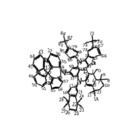 CC1C2=C(C=C3C1C(C)(C)CCC3(C)C)N(c1ccc3c(c1)C(C)(C)CCC3(C)C)c1cc(N3c4ccccc4C(c4ccccc4)(c4ccccc4)c4ccccc43)cc3c1B2c1sc2ccc(C(C)(C)C)cc2c1N3c1ccc(C(C)(C)C)cc1